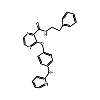 O=C(NCCc1ccccc1)c1nccnc1Oc1ccc(Nc2ccccn2)cc1